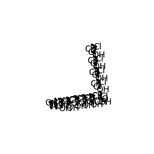 CCC(Cl)(Cl)C(CO)C(=O)O.CCC(Cl)(Cl)CC(=O)O.CCC(Cl)(Cl)CC(=O)O.CCC(Cl)(Cl)CC(=O)O.CCC(Cl)(Cl)CC(=O)O.CCC(Cl)(Cl)CC(=O)O.CCC(Cl)(Cl)CC(=O)O.CCC(Cl)(Cl)CC(=O)O.CCC(Cl)(Cl)CC(=O)O.CCC(Cl)(Cl)CC(=O)O.CCCCCC.CCOC(C)=O